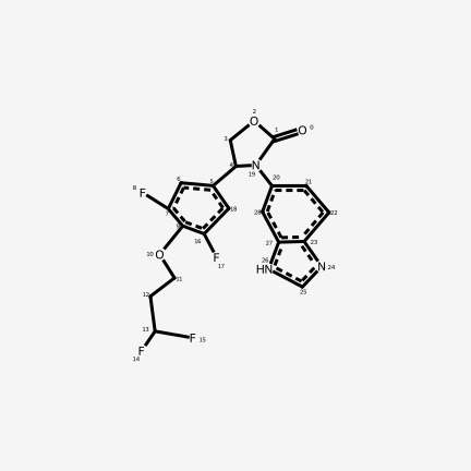 O=C1OCC(c2cc(F)c(OCCC(F)F)c(F)c2)N1c1ccc2nc[nH]c2c1